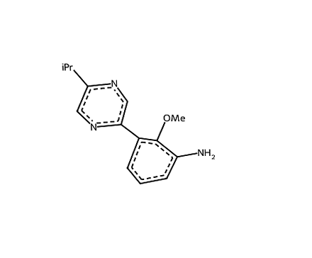 COc1c(N)cccc1-c1cnc(C(C)C)cn1